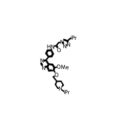 COc1cc2c(-c3ccc(NC(=O)Cn4cc(C(C)C)nn4)cc3)ncnc2cc1OCC1CCN(C(C)C)CC1